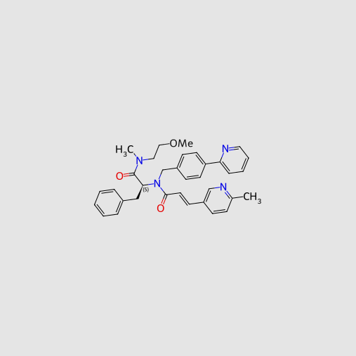 COCCN(C)C(=O)[C@H](Cc1ccccc1)N(Cc1ccc(-c2ccccn2)cc1)C(=O)C=Cc1ccc(C)nc1